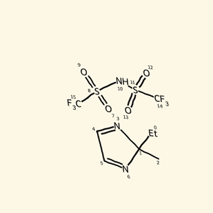 CCC1(C)N=CC=N1.O=S(=O)(NS(=O)(=O)C(F)(F)F)C(F)(F)F